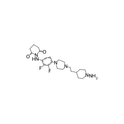 NN1CCC(CCN2CCN(c3ccc(NN4C(=O)CCCC4=O)c(F)c3F)CC2)CC1